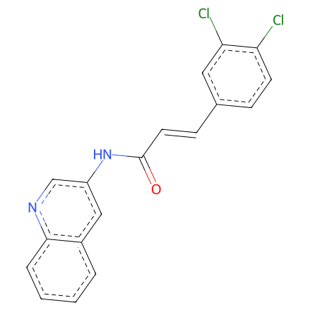 O=C(C=Cc1ccc(Cl)c(Cl)c1)Nc1cnc2ccccc2c1